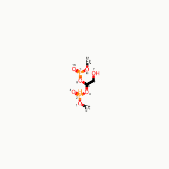 CCO[PH](=O)OC(CO)O[PH](=O)OCC